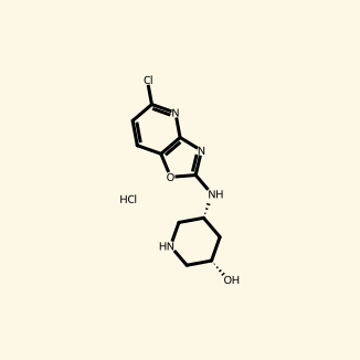 Cl.O[C@@H]1CNC[C@H](Nc2nc3nc(Cl)ccc3o2)C1